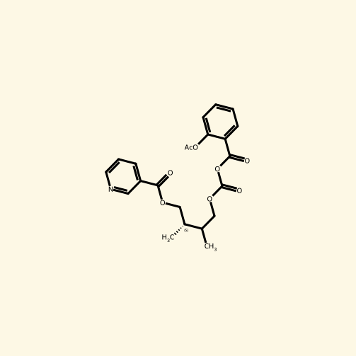 CC(=O)Oc1ccccc1C(=O)OC(=O)OCC(C)[C@H](C)COC(=O)c1cccnc1